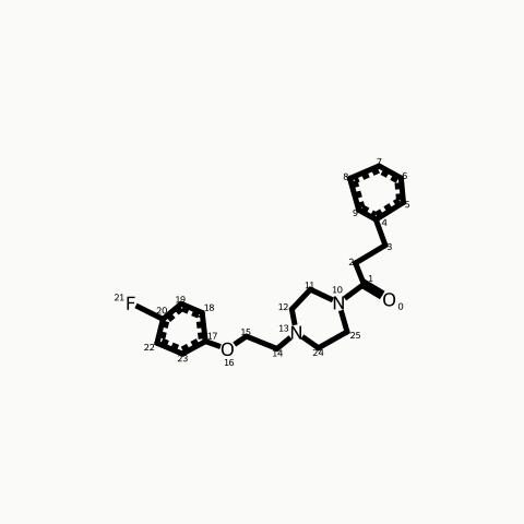 O=C(CCc1ccccc1)N1CCN(CCOc2ccc(F)cc2)CC1